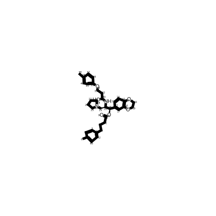 Cc1ccc(CCCC(=O)O[C@H](c2ccc3c(c2)OCCO3)[C@@H](CN2CCCC2)NC(O)CCOc2ccc(C)cc2)cc1